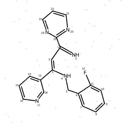 N=C(/C=C(\NCc1ccccc1F)c1cccnc1)c1ncccn1